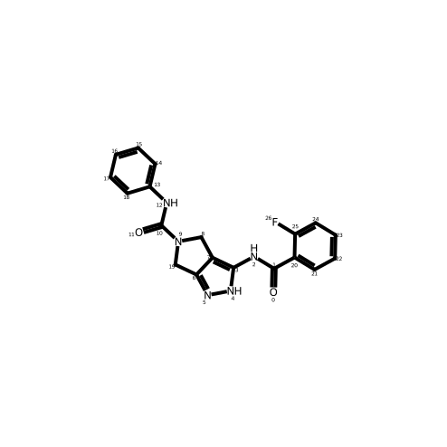 O=C(Nc1[nH]nc2c1CN(C(=O)Nc1ccccc1)C2)c1ccccc1F